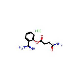 Cl.N=C(N)c1ccccc1OC(=O)CCC(N)=O